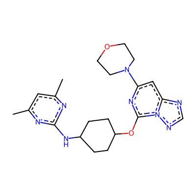 Cc1cc(C)nc(NC2CCC(Oc3nc(N4CCOCC4)cc4ncnn34)CC2)n1